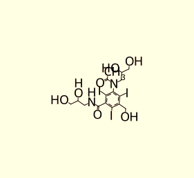 CC(=O)N(CC(O)CO)c1c(I)c(CO)c(I)c(C(=O)NCC(O)CO)c1I